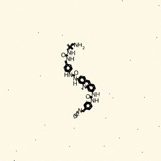 C[n+]1c2cc(NC(=O)Nc3ccc(CN=C=O)cc3)ccc2cc2ccc(NC(=O)Nc3ccc(CNC(=O)NCC(C)(C)CN)cc3)cc21